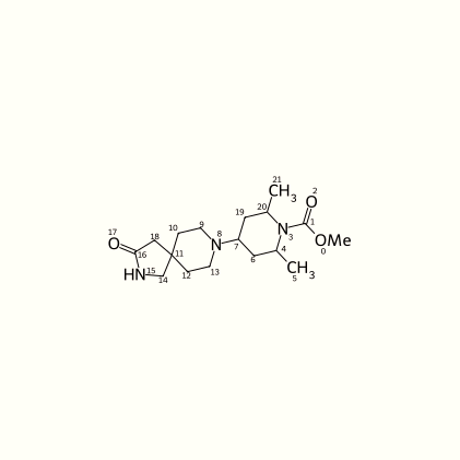 COC(=O)N1C(C)CC(N2CCC3(CC2)CNC(=O)C3)CC1C